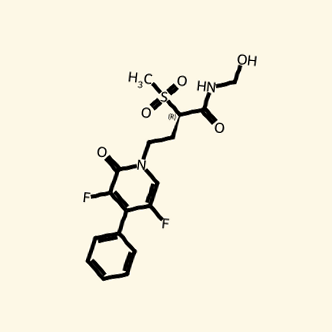 CS(=O)(=O)[C@H](CCn1cc(F)c(-c2ccccc2)c(F)c1=O)C(=O)NCO